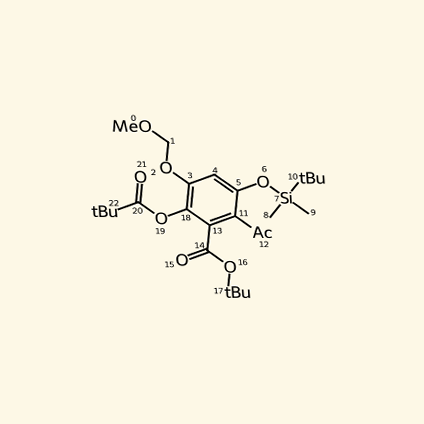 COCOc1cc(O[Si](C)(C)C(C)(C)C)c(C(C)=O)c(C(=O)OC(C)(C)C)c1OC(=O)C(C)(C)C